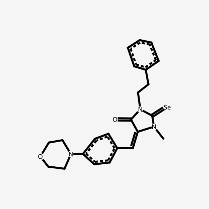 CN1C(=[Se])N(CCc2ccccc2)C(=O)C1=Cc1ccc(N2CCOCC2)cc1